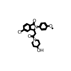 COc1ccc(N2C(=O)c3ccc(Cl)cc3C2CC(=O)N2CCC(O)CC2)cc1